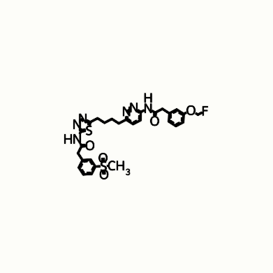 CS(=O)(=O)c1cccc(CC(=O)Nc2nnc(CCCCc3ccc(NC(=O)Cc4cccc(OCF)c4)nn3)s2)c1